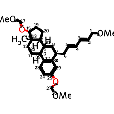 COCC=CC=CC[C@@H]1C[C@@H]2[C@H](CC[C@]3(C)[C@@H](OCOC)CC[C@@H]23)c2ccc(OCOC)cc21